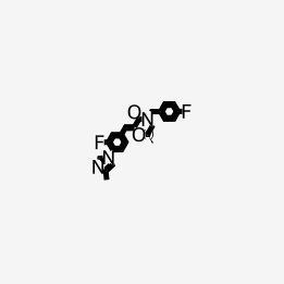 Cc1cn(-c2ccc(C=C3O[C@@H](C)CN(Cc4ccc(F)cc4)C3=O)cc2F)cn1